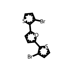 Brc1ccsc1-c1ccc(-c2sccc2Br)o1